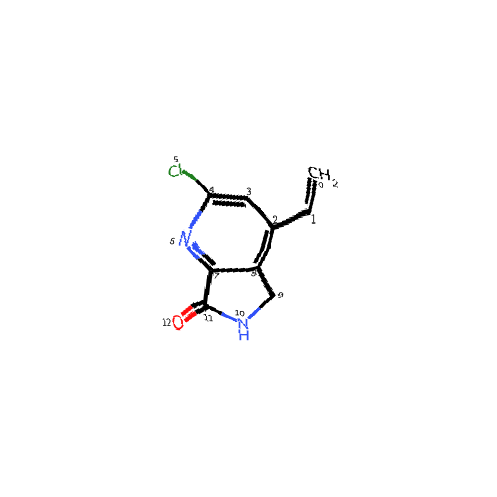 C=Cc1cc(Cl)nc2c1CNC2=O